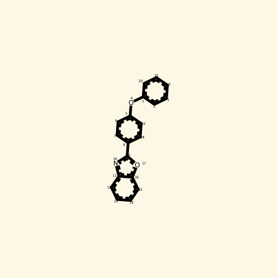 c1ccc(Oc2ccc(-c3nc4ccccc4o3)cc2)cc1